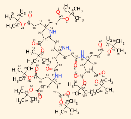 CC(C)(C)OC(=O)CCC(CCC(=O)OC(C)(C)C)(CCC(=O)OC(C)(C)C)NCCCC(N)(CCC(=O)NC(CCC(=O)OC(C)(C)C)(CCC(=O)OC(C)(C)C)CCC(=O)OC(C)(C)C)CCC(=O)NC(CCC(=O)OC(C)(C)C)(CCC(=O)OC(C)(C)C)CCC(=O)OC(C)(C)C